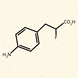 Nc1ccc(CC(F)C(=O)O)cc1